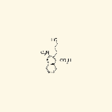 O=C(O)c1c(CCCO)c([N+](=O)[O-])cc2ccccc12